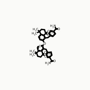 CC1(C)CCC(C)(C)c2c1ccc(Oc1ccc3c(c1Cc1ccc(C(N)=O)cc1)C(C)(C)CCC3(C)C)c2Cc1ccc(C(N)=O)cc1